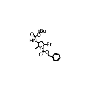 CCC1CC(NC(=O)OC(C)(C)C)C(C)N1C(=O)OCc1ccccc1